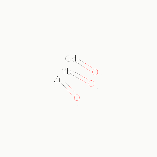 [O]=[Gd].[O]=[Yb].[O]=[Zr]